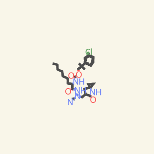 CCCCCCCC(NC(=O)OCC(C)(C)c1cccc(Cl)c1)C(=O)NN(C#N)CC1CC2(CC2)NC1=O